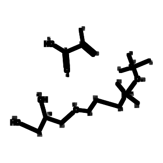 C=C(C)C(=O)O.C[Si](C)(C)O[Si](C)(C)CCCOCC(O)CO